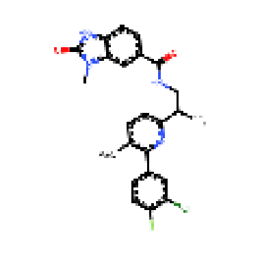 COc1ccc(C(CNC(=O)c2ccc3[nH]c(=O)n(C)c3c2)C(F)(F)F)nc1-c1ccc(F)c(Cl)c1